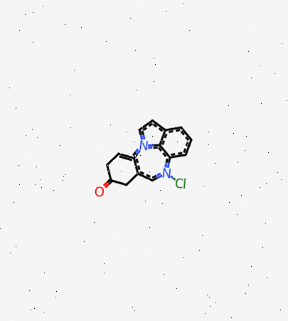 O=C1CC=c2c(cn(Cl)c3cccc4ccn2c43)C1